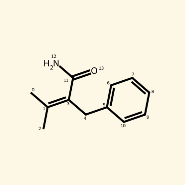 CC(C)=C(Cc1ccccc1)C(N)=O